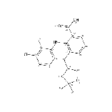 Cc1c(Cl)cccc1Nc1c(CC2COC(C)(C)O2)cccc1C(=O)O